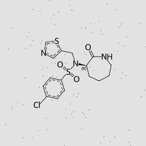 O=C1NCCCC[C@H]1N(Cc1cncs1)S(=O)(=O)c1ccc(Cl)cc1